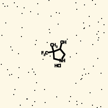 CC1(C(F)(F)F)CNCC1O.Cl